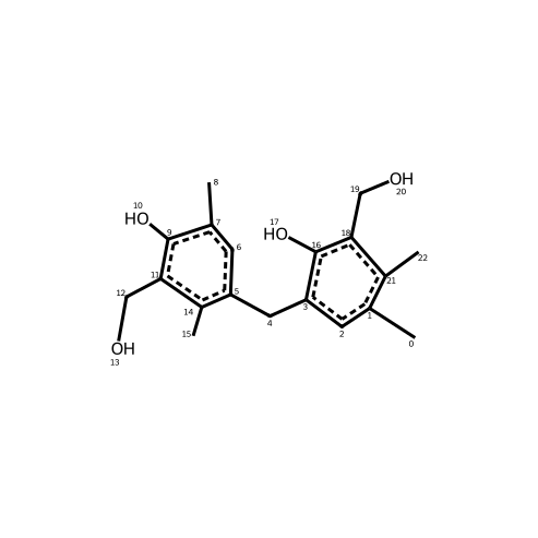 Cc1cc(Cc2cc(C)c(O)c(CO)c2C)c(O)c(CO)c1C